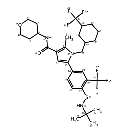 Cc1c(C(=O)NC2CCOCC2)cc(-c2ccc(SNC(C)(C)C)c(C(F)(F)F)c2)n1CC1CCCC(C(F)(F)F)C1